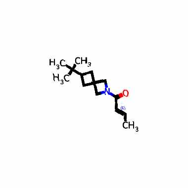 C/C=C/C(=O)N1CC2(CC(C(C)(C)C)C2)C1